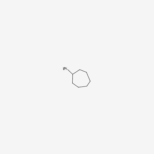 [CH2]C(C)C1CCCCCC1